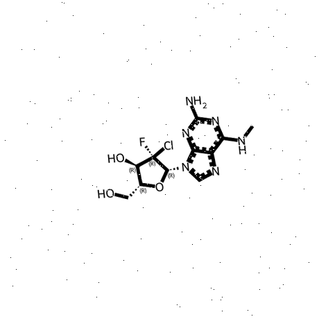 CNc1nc(N)nc2c1ncn2[C@@H]1O[C@H](CO)[C@@H](O)[C@@]1(F)Cl